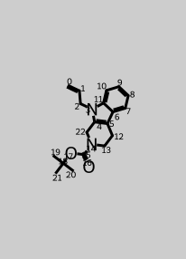 C=CCn1c2c(c3ccccc31)CCN(C(=O)OC(C)(C)C)C2